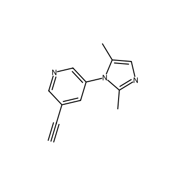 C#Cc1cncc(-n2c(C)cnc2C)c1